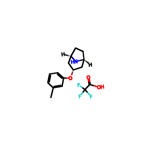 Cc1cccc(O[C@@H]2C[C@H]3CC[C@@H](C2)N3)c1.O=C(O)C(F)(F)F